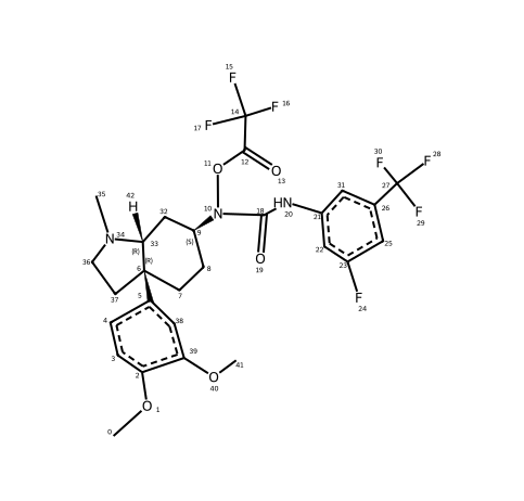 COc1ccc([C@]23CC[C@H](N(OC(=O)C(F)(F)F)C(=O)Nc4cc(F)cc(C(F)(F)F)c4)C[C@H]2N(C)CC3)cc1OC